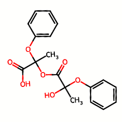 CC(O)(Oc1ccccc1)C(=O)OC(C)(Oc1ccccc1)C(=O)O